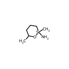 CC1CCC[Si](C)(N)O1